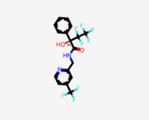 O=C(NCc1cc(C(F)(F)F)ccn1)[C@](O)(c1ccccc1)C(F)(F)C(F)(F)F